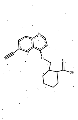 N#Cc1ccc2nccc(OCC3CCCCC3C(=O)O)c2c1